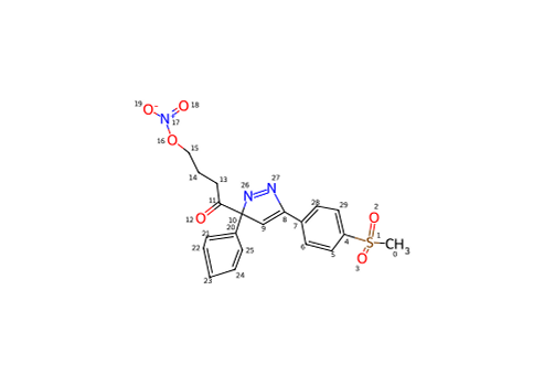 CS(=O)(=O)c1ccc(C2=CC(C(=O)CCCO[N+](=O)[O-])(c3ccccc3)N=N2)cc1